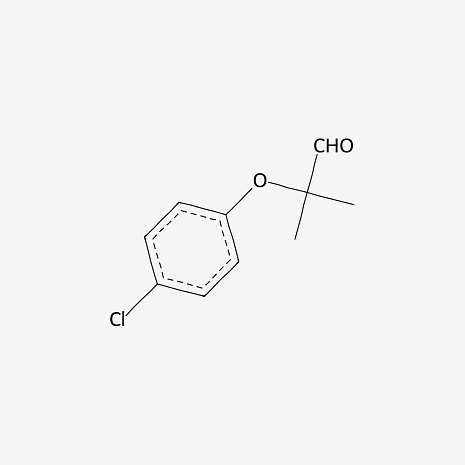 CC(C)(C=O)Oc1ccc(Cl)cc1